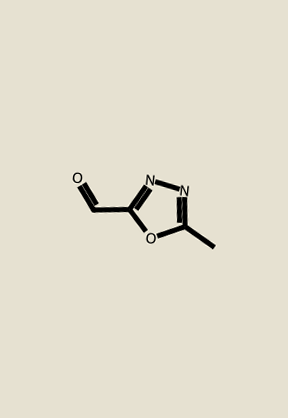 Cc1nnc(C=O)o1